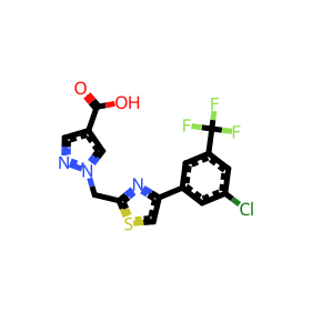 O=C(O)c1cnn(Cc2nc(-c3cc(Cl)cc(C(F)(F)F)c3)cs2)c1